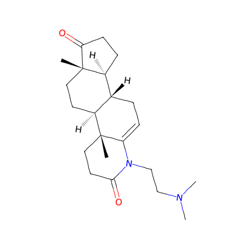 CN(C)CCN1C(=O)CC[C@@]2(C)C1=CC[C@@H]1[C@@H]2CC[C@]2(C)C(=O)CC[C@@H]12